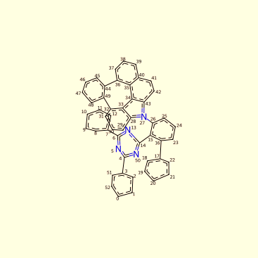 c1ccc(-c2nc(-c3ccccc3)nc(-c3c(-c4ccccc4)cccc3-n3c4cccc5c4c4c6c(cccc6ccc43)-c3ccccc3-5)n2)cc1